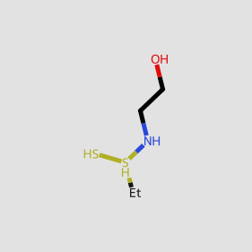 CC[SH](S)NCCO